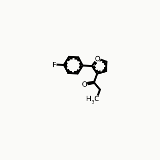 CCC(=O)c1ccoc1-c1ccc(F)cc1